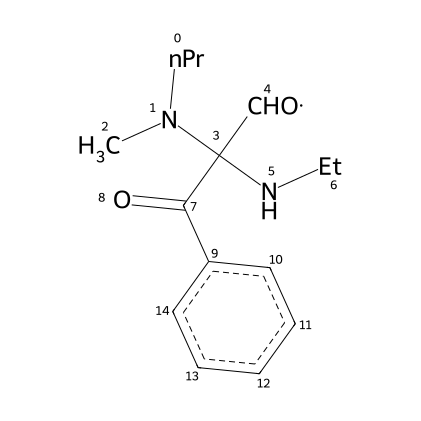 CCCN(C)C([C]=O)(NCC)C(=O)c1ccccc1